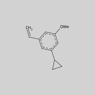 C=[C]c1cc(OC)cc(C2CC2)c1